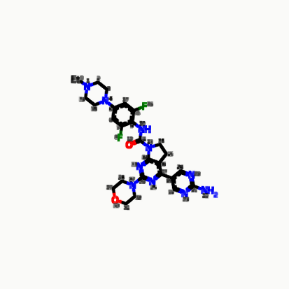 CCN1CCN(c2cc(F)c(NC(=O)N3CCc4c(-c5cnc(N)nc5)nc(N5CCOCC5)nc43)c(F)c2)CC1